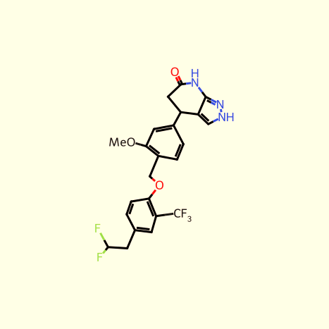 COc1cc(C2CC(=O)Nc3n[nH]cc32)ccc1COc1ccc(CC(F)F)cc1C(F)(F)F